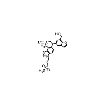 CCOC(=O)CC(c1cc(CO)c2sccc2c1)c1ccc2c(nnn2CCCS(C)(=O)=O)c1C